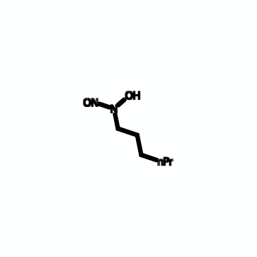 CCCCCCN(O)N=O